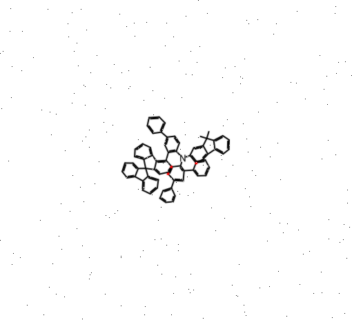 CC1(C)c2ccccc2-c2ccc(N(c3ccc(-c4ccccc4)cc3-c3ccccc3)c3ccc(-c4ccccc4)cc3-c3cccc4c3-c3ccccc3C43c4ccccc4-c4ccccc43)cc21